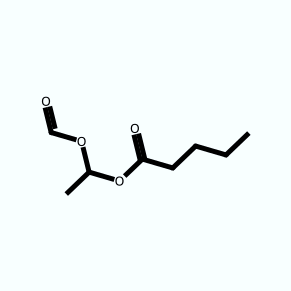 CCCCC(=O)OC(C)OC=O